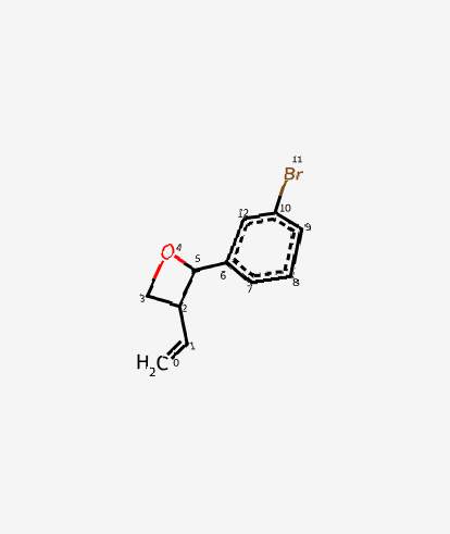 C=CC1COC1c1cccc(Br)c1